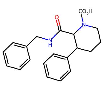 O=C(NCc1ccccc1)C1C(c2ccccc2)CCCN1C(=O)O